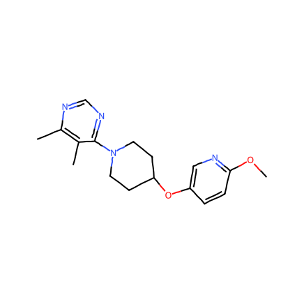 COc1ccc(OC2CCN(c3ncnc(C)c3C)CC2)cn1